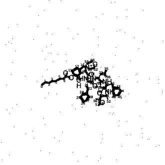 CCCCCCCC(=O)Oc1ccc(C[N+]2(CC(=O)N[C@@H](CCc3ccccc3)C(=O)N[C@@H](CC(C)C)C(=O)N[C@@H](Cc3ccccc3)C(=O)N[C@@H](C)C(=O)[C@@]3(C)CO3)CCOCC2)cc1O